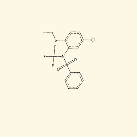 CCSc1ccc(Cl)cc1N(C(F)(F)F)S(=O)(=O)c1ccccc1